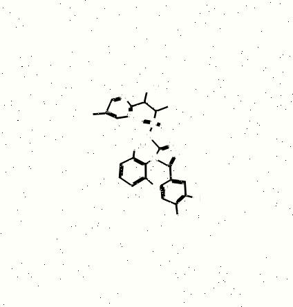 COc1cccc(OC)c1-n1c(NS(=O)(=O)C(C)C(OC)c2ncc(C)cn2)nnc1-c1ccc(Cl)c(Cl)c1